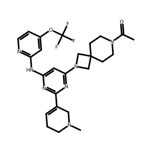 CC(=O)N1CCC2(CC1)CN(c1cc(Nc3cc(OC(F)(F)F)ccn3)nc(C3=CCCN(C)C3)n1)C2